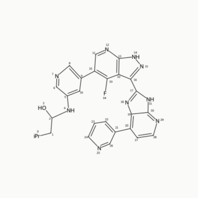 CC(C)CC(O)Nc1cncc(-c2cnc3[nH]nc(-c4nc5c(-c6cccnc6)ccnc5[nH]4)c3c2F)c1